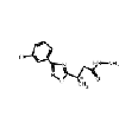 C[C@H](CC(=O)NN)c1nc(-c2cccc(Cl)c2)no1